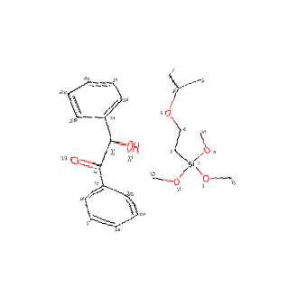 CO[Si](CCOC(C)C)(OC)OC.O=C(c1ccccc1)C(O)c1ccccc1